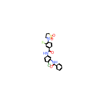 O=C(Nc1ccc(Cl)c(NC(=O)c2ccccc2)c1)c1ccc(N2CCCS2(=O)=O)c(F)c1